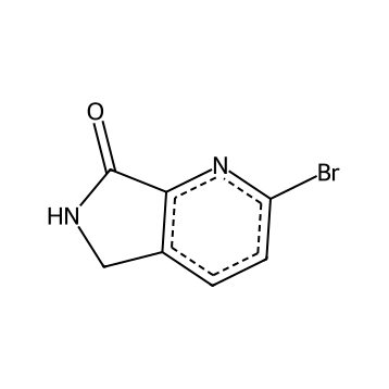 O=C1NCc2ccc(Br)nc21